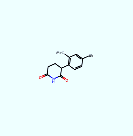 COc1cc(C(C)(C)C)ccc1C1CCC(=O)NC1=O